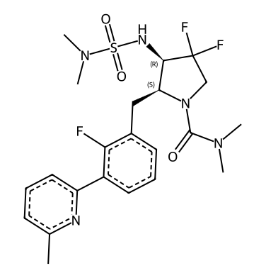 Cc1cccc(-c2cccc(C[C@H]3[C@@H](NS(=O)(=O)N(C)C)C(F)(F)CN3C(=O)N(C)C)c2F)n1